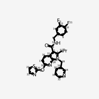 CC(C)c1c(C(=O)NCc2ccc(F)c(F)c2)c2ccc(Oc3nccs3)nc2n1Cc1cccnc1